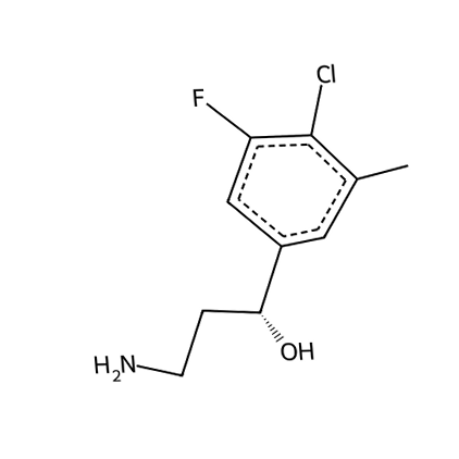 Cc1cc([C@H](O)CCN)cc(F)c1Cl